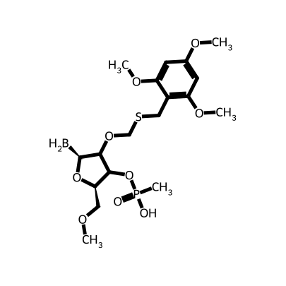 B[C@@H]1O[C@H](COC)C(OP(C)(=O)O)C1OCSCc1c(OC)cc(OC)cc1OC